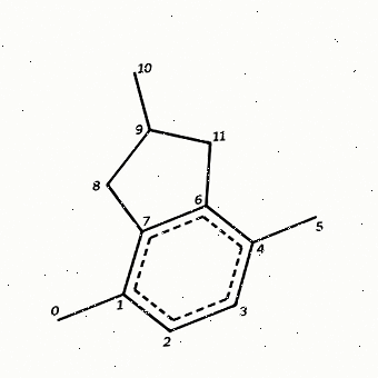 Cc1ccc(C)c2c1CC(C)C2